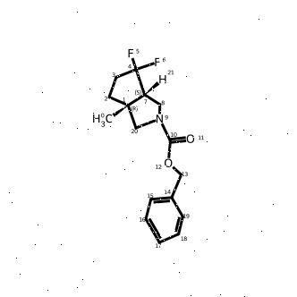 C[C@@]12CCC(F)(F)[C@@H]1CN(C(=O)OCc1ccccc1)C2